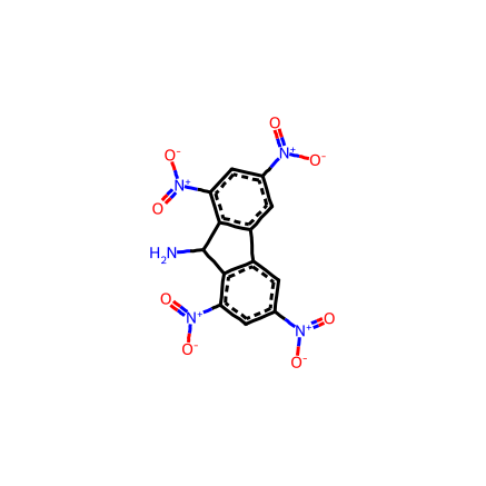 NC1c2c(cc([N+](=O)[O-])cc2[N+](=O)[O-])-c2cc([N+](=O)[O-])cc([N+](=O)[O-])c21